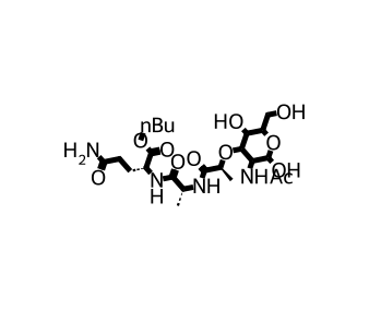 CCCCOC(=O)[C@@H](CCC(N)=O)NC(=O)[C@@H](C)NC(=O)[C@H](C)OC1C(O)C(CO)OC(O)C1NC(C)=O